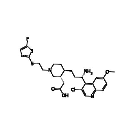 COc1ccc2ncc(Cl)c([C@@H](N)CC[C@@H]3CCN(CCSc4ccc(F)s4)C[C@H]3CC(=O)O)c2c1